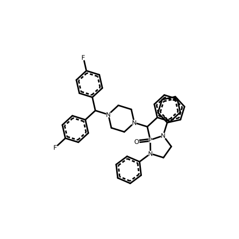 O=P1(C(c2ccccc2)N2CCN(C(c3ccc(F)cc3)c3ccc(F)cc3)CC2)N(c2ccccc2)CCN1c1ccccc1